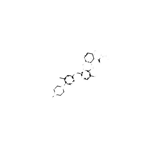 Cc1cc(Nc2ncc(F)c(N[C@@H]3[C@H](C(N)=O)[C@H](C)C=C[C@@H]3C)n2)ccc1N1CCN(C)CC1